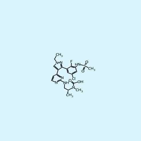 CCn1cc(-c2ccnc(NC[C@H](C)N(C)C(=O)O)n2)c(-c2cc(Cl)cc(NS(C)(=O)=O)c2F)n1